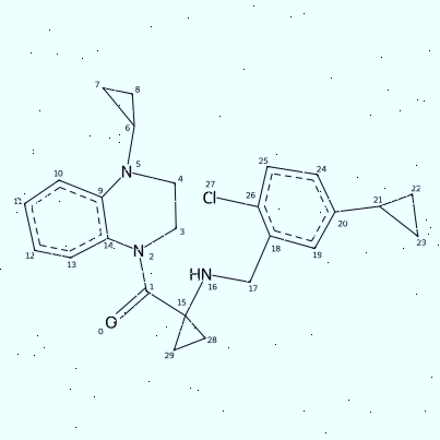 O=C(N1CCN(C2CC2)c2ccccc21)C1(NCc2cc(C3CC3)ccc2Cl)CC1